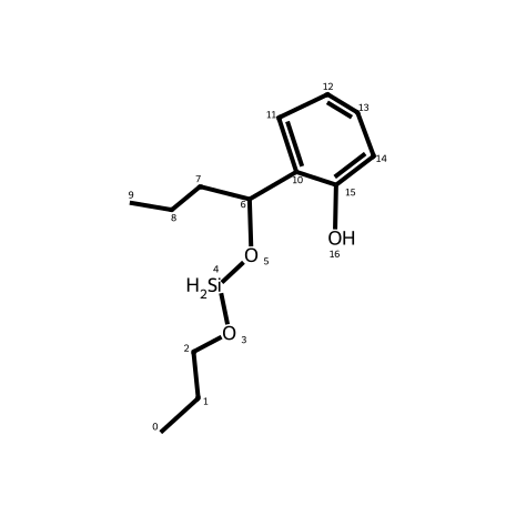 CCCO[SiH2]OC(CCC)c1ccccc1O